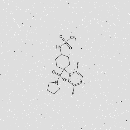 O=S(=O)(NC1CCC(c2cc(F)ccc2F)(S(=O)(=O)N2CCCC2)CC1)C(F)(F)F